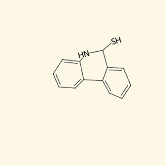 SC1Nc2ccccc2-c2ccccc21